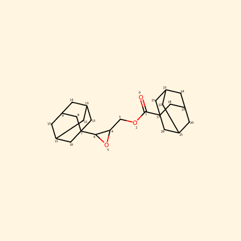 O=C(OCC1OC1C12CC3CC(CC(C3)C1)C2)C12CC3CC(CC(C3)C1)C2